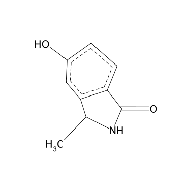 CC1NC(=O)c2ccc(O)cc21